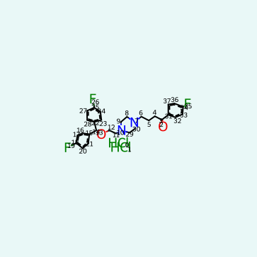 Cl.Cl.O=C(CCCN1CCN(CCOC(c2ccc(F)cc2)c2ccc(F)cc2)CC1)c1ccc(F)cc1